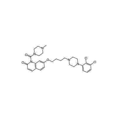 CN1CCN(C(=O)n2c(=O)ccc3ccc(OCCCCN4CCN(c5cccc(Cl)c5Cl)CC4)cc32)CC1